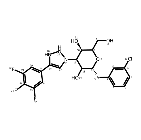 OCC1O[C@H](Sc2cccc(Cl)c2)C(O)C(N2C=C(c3cc(F)c(F)c(F)c3)NN2)[C@H]1O